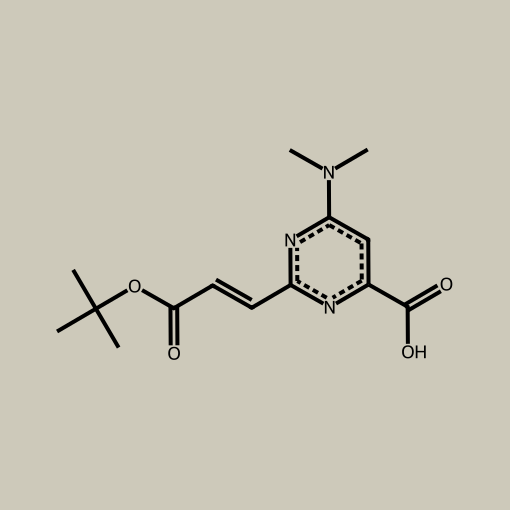 CN(C)c1cc(C(=O)O)nc(C=CC(=O)OC(C)(C)C)n1